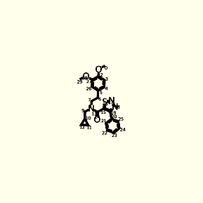 COc1ccc(CCN(CC2CC2)C(=O)c2snnc2-c2ccccc2)cc1OC